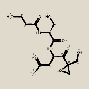 C=C(C)CC(NC(=O)[C@H](CO)NC(=O)CCC)C(=O)C1(CO)CO1